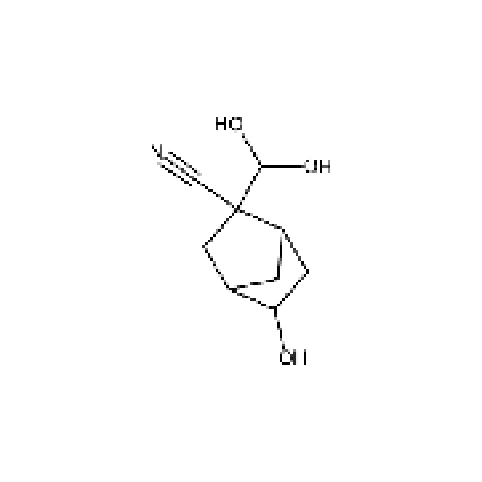 N#CC1(C(O)O)CC2CC1CC2O